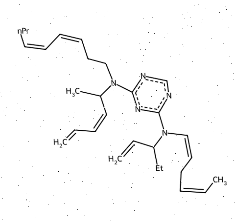 C=C/C=C\C(C)N(CC/C=C\C=C/CCC)c1ncnc(N(/C=C\C/C=C\C)C(C=C)CC)n1